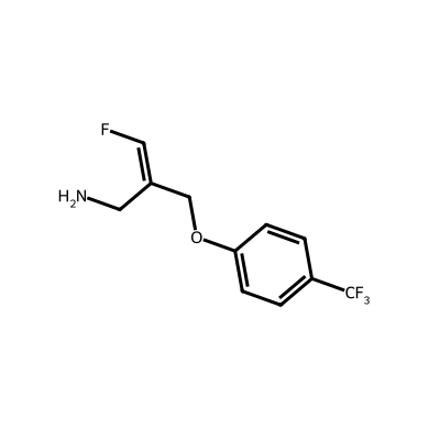 NC/C(=C\F)COc1ccc(C(F)(F)F)cc1